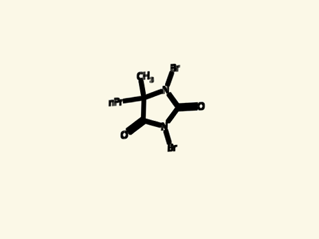 CCCC1(C)C(=O)N(Br)C(=O)N1Br